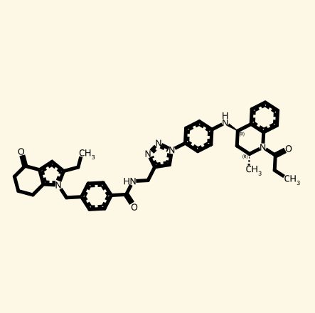 CCC(=O)N1c2ccccc2[C@H](Nc2ccc(-n3cc(CNC(=O)c4ccc(Cn5c(CC)cc6c5CCCC6=O)cc4)nn3)cc2)C[C@H]1C